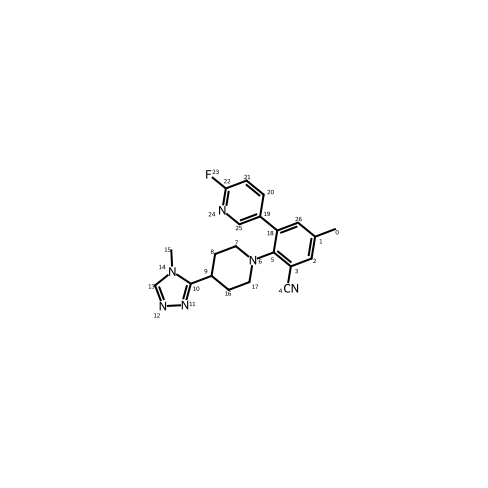 Cc1cc(C#N)c(N2CCC(c3nncn3C)CC2)c(-c2ccc(F)nc2)c1